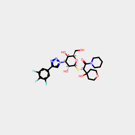 O=C([C@@H](S[C@@H]1O[C@H](CO)[C@H](O)[C@H](n2cc(-c3cc(F)c(F)c(F)c3)nn2)[C@H]1O)C1(O)CCOCC1)N1CCCCC1